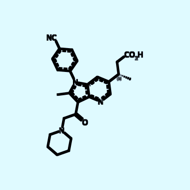 Cc1c(C(=O)CN2CCCCC2)c2ncc([C@@H](C)CC(=O)O)cc2n1-c1ccc(C#N)cc1